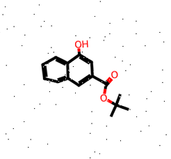 CC(C)(C)OC(=O)c1cc(O)c2ccccc2c1